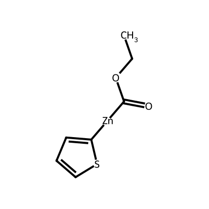 CCO[C](=O)[Zn][c]1cccs1